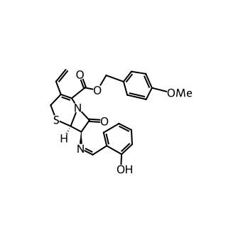 C=CC1=C(C(=O)OCc2ccc(OC)cc2)N2C(=O)[C@@H](/N=C\c3ccccc3O)[C@H]2SC1